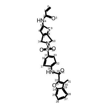 C=CC(=O)Nc1cc2c(s1)CN(S(=O)(=O)c1ccc(NC(=O)c3oc4ccccc4c3C)cc1)C2